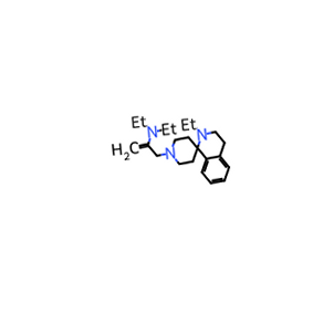 C=C(CN1CCC2(CC1)c1ccccc1CCN2CC)N(CC)CC